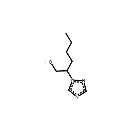 CCCCC(CO)n1cncn1